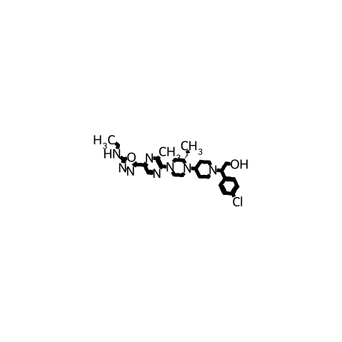 CCNc1nnc(-c2cnc(N3CCN(C4CCN(C(CO)c5ccc(Cl)cc5)CC4)[C@@H](CC)C3)c(C)n2)o1